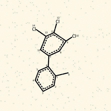 Cc1ccccc1-c1cc(Cl)c(Cl)c(Cl)c1